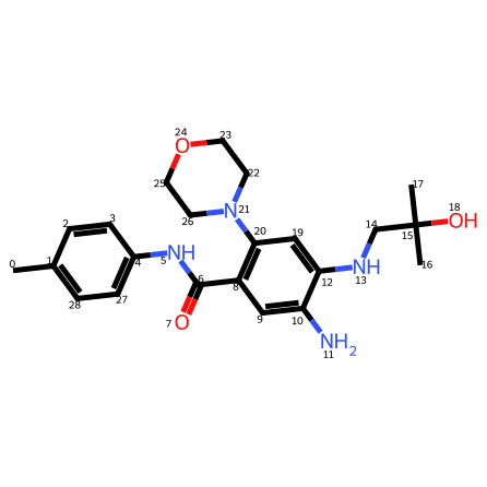 Cc1ccc(NC(=O)c2cc(N)c(NCC(C)(C)O)cc2N2CCOCC2)cc1